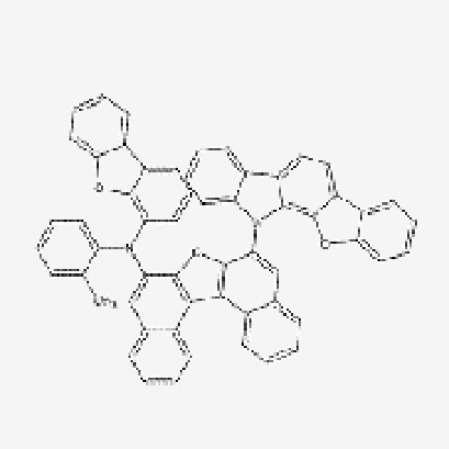 Cc1ccccc1N(c1cccc2c1oc1ccccc12)c1cc2ccccc2c2c1oc1c(-n3c4ccccc4c4ccc5c6ccccc6oc5c43)cc3ccccc3c12